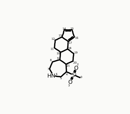 CS(=O)(=O)C1CNCCC2C3CCC4C=CC=C4C3CCC21